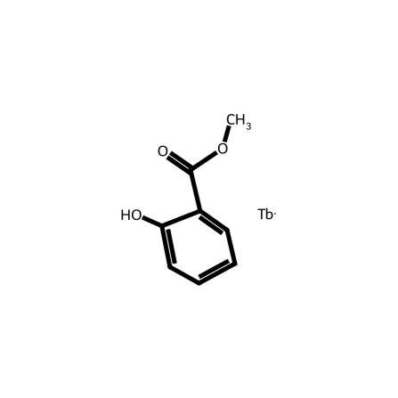 COC(=O)c1ccccc1O.[Tb]